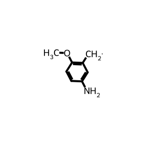 [CH2]c1cc(N)ccc1OC